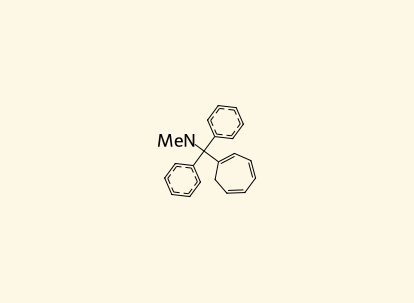 CNC(C1=CC=CC=CC1)(c1ccccc1)c1ccccc1